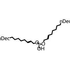 CCCCCCCCCCCCCCCC=CCOP(O)OCC=CCCCCCCCCCCCCCCC